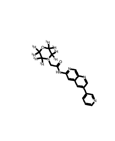 [2H]C1([2H])OC([2H])([2H])C([2H])([2H])N(CC(=O)Nc2cc3cc(-c4cccnc4)cnc3cn2)C1([2H])[2H]